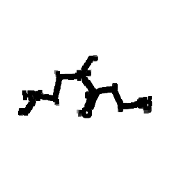 CNCCN(C)C(=O)CCS